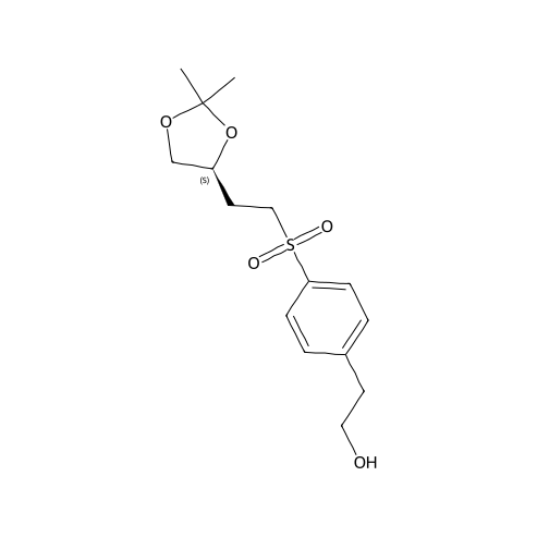 CC1(C)OC[C@H](CCS(=O)(=O)c2ccc(CCO)cc2)O1